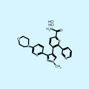 Cl.Cl.Cn1cc(-c2ccc(C(N)=O)nc2-c2cccnc2)c(-c2ccc(N3CCOCC3)cn2)n1